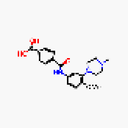 COc1ccc(NC(=O)c2ccc(B(O)O)cc2)cc1N1CCN(C)CC1